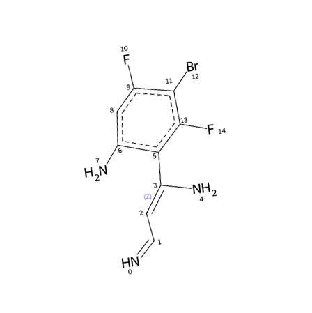 N=C/C=C(\N)c1c(N)cc(F)c(Br)c1F